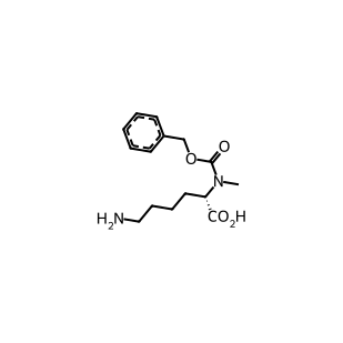 CN(C(=O)OCc1ccccc1)[C@@H](CCCCN)C(=O)O